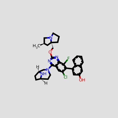 C[C@H]1CN2CCC[C@@]2(COc2nc(N3CC[C@H]4CC[C@@H](C3)N4)c3cc(Cl)c(-c4cc(O)cc5ccccc45)c(F)c3n2)C1